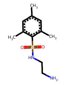 Cc1cc(C)c(S(=O)(=O)NCCN)c(C)c1